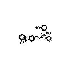 O=C(NCc1ccc(Nc2ccccc2C(F)(F)F)cc1)O[C@@]1(NC(=O)c2cccc(O)c2)CCOC1